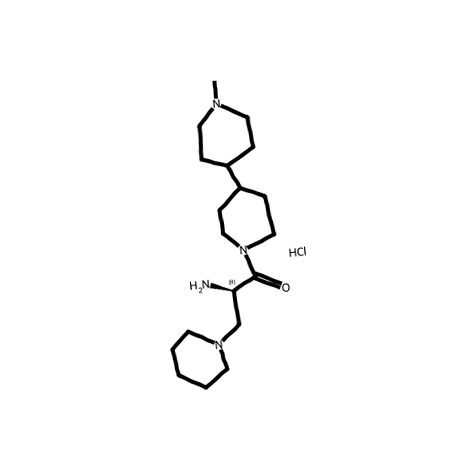 CN1CCC(C2CCN(C(=O)[C@H](N)CN3CCCCC3)CC2)CC1.Cl